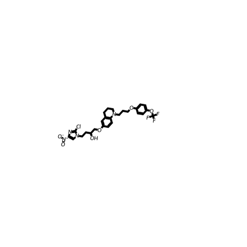 O=[N+]([O-])c1cn(CCC(O)COc2ccc3c(c2)CCCN3CCCOc2ccc(OC(F)(F)F)cc2)c(Cl)n1